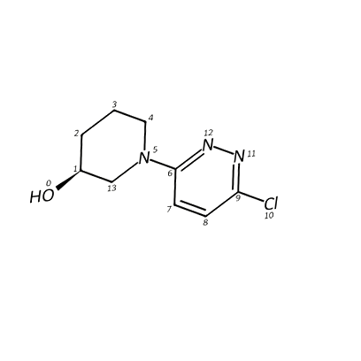 O[C@H]1CCCN(c2ccc(Cl)nn2)C1